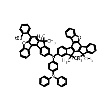 CC(C)(C)c1ccccc1-c1cc2c(c3c1oc1ccccc13)-c1ccc(N(c3ccc(N(c4ccccc4)c4ccccc4)cc3)c3ccc4c(c3)C(C)(C)c3c5c(c6oc7ccccc7c6c3-4)-c3ccccc3C5(C)C)cc1C2(C)C